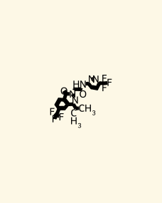 CC(C)c1nn(CC(=O)Nc2ccc(C(F)(F)F)nn2)c(=O)c2ccc(C(F)(F)F)cc12